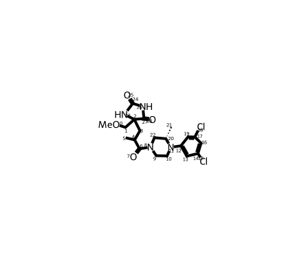 COCC1(CC(C)C(=O)N2CCN(c3cc(Cl)cc(Cl)c3)[C@@H](C)C2)NC(=O)NC1=O